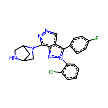 Fc1ccc(-c2c3cnnc(N4CC5CC4CN5)c3nn2-c2ccccc2Cl)cc1